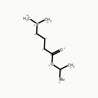 CCC(C)C(C)OC(=O)CCCN(C)C